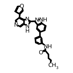 CCCCC(=O)Nc1cccc(-c2ccc3[nH]nc(-c4nc5c(-c6ccoc6)cncc5[nH]4)c3c2)c1